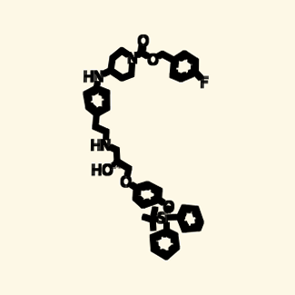 CC(C)(C)[Si](Oc1ccc(OC[C@@H](O)CNCCc2ccc(NC3CCN(C(=O)OCc4ccc(F)cc4)CC3)cc2)cc1)(c1ccccc1)c1ccccc1